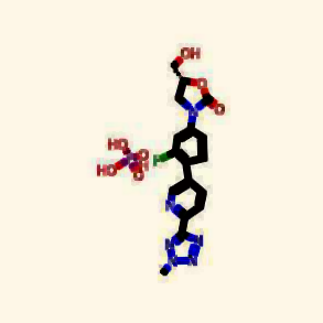 Cn1nnc(-c2ccc(-c3ccc(N4C[C@H](CO)OC4=O)cc3F)cn2)n1.O=P(O)(O)O